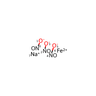 O=N[O-].O=N[O-].O=N[O-].[Fe+2].[Na+]